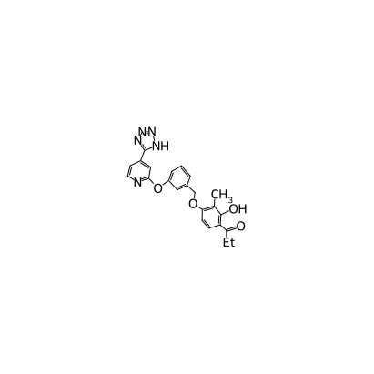 CCC(=O)c1ccc(OCc2cccc(Oc3cc(-c4nnn[nH]4)ccn3)c2)c(C)c1O